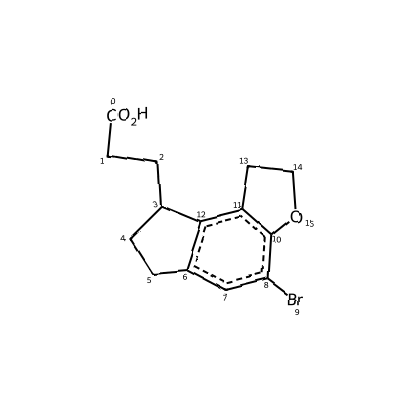 O=C(O)CCC1CCc2cc(Br)c3c(c21)CCO3